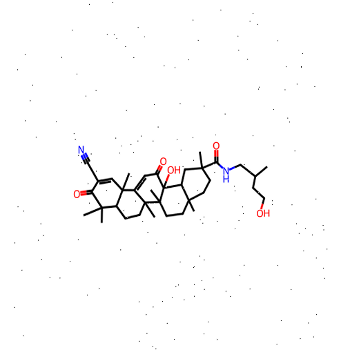 CC(CCO)CNC(=O)C1(C)CCC2(C)CCC3(C)C4(C)CCC5C(C)(C)C(=O)C(C#N)=CC5(C)C4=CC(=O)C3(O)C2C1